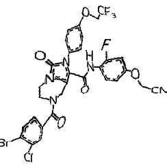 N#CCOc1ccc(NC(=O)c2c3n(c(=O)n2-c2ccc(OCC(F)(F)F)cc2)CCN(C(=O)c2ccc(Br)c(Cl)c2)C3)c(F)c1